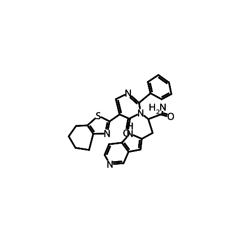 NC(=O)C(Cc1cc2cnccc2[nH]1)n1c(-c2ccccc2)ncc(-c2nc3c(s2)CCCC3)c1=O